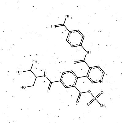 CC(C)C(CO)NC(=O)c1ccc(-c2cnccc2C(=O)Nc2ccc(C(=N)N)cc2)c(C(=O)OS(C)(=O)=O)c1